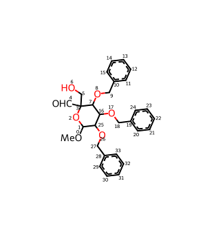 COC1OC(C=O)(CO)C(OCc2ccccc2)C(OCc2ccccc2)C1OCc1ccccc1